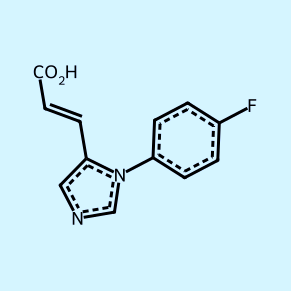 O=C(O)C=Cc1cncn1-c1ccc(F)cc1